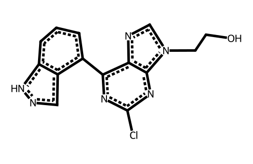 OCCn1cnc2c(-c3cccc4[nH]ncc34)nc(Cl)nc21